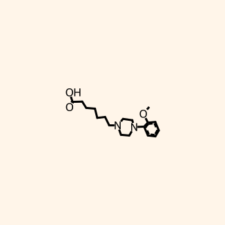 COc1ccccc1N1CCN(CCCCCCC(=O)O)CC1